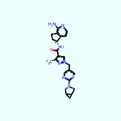 Nc1nccc2c1CC[C@H]2NC(=O)c1cn(Cc2cnc(N3CC4CC4C3)nc2)nc1C(F)(F)F